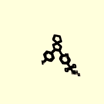 NS(=O)(=O)c1ccc(C2=C(c3ccc(F)cc3)CC3(CCCC3)C2)nc1